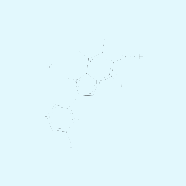 Cc1c(C(=O)O)c(Cl)n2cc(-c3cccc(Br)c3)nc2c1C.Cl